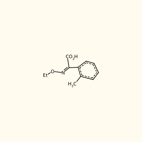 CCON=C(C(=O)O)c1ccccc1C